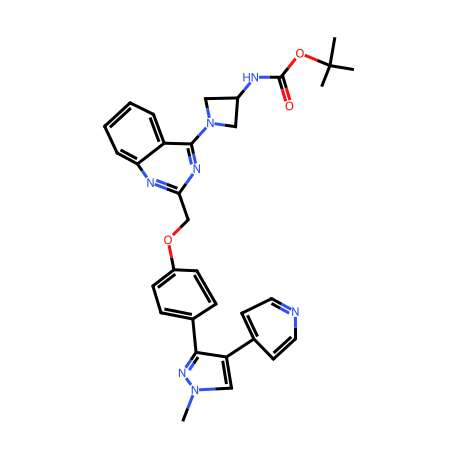 Cn1cc(-c2ccncc2)c(-c2ccc(OCc3nc(N4CC(NC(=O)OC(C)(C)C)C4)c4ccccc4n3)cc2)n1